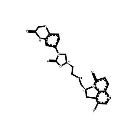 O=C1CSc2ccc(N3C[C@@H](CCNC[C@@H]4Cc5c(F)cnc6ccc(=O)n4c56)OC3=O)cc2N1